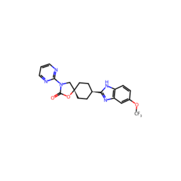 O=C1O[C@]2(CC[C@H](c3nc4cc(OC(F)(F)F)ccc4[nH]3)CC2)CN1c1ncccn1